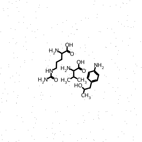 CC(C)C(N)C(=O)O.CC(O)Cc1ccc(N)cc1.NC(=O)NCCCC(N)C(=O)O